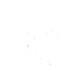 Clc1ccccc1-c1ccc2c3ccccc3n(-c3cccc(-c4ccncc4)c3)c2c1